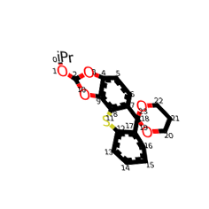 CC(C)OC1Oc2ccc3c(c2O1)Sc1ccccc1C31OCCCO1